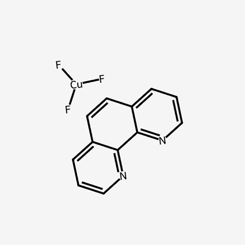 [F][Cu]([F])[F].c1cnc2c(c1)ccc1cccnc12